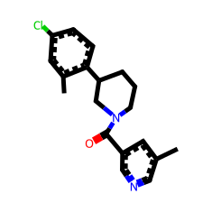 Cc1cncc(C(=O)N2CCCC(c3ccc(Cl)cc3C)C2)c1